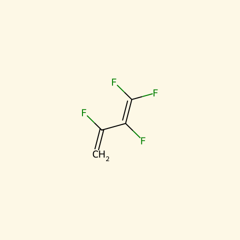 C=C(F)C(F)=C(F)F